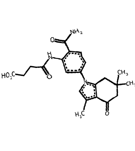 Cc1cn(-c2ccc(C(N)=O)c(NC(=O)CCC(=O)O)c2)c2c1C(=O)CC(C)(C)C2